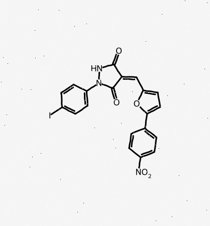 O=C1NN(c2ccc(I)cc2)C(=O)C1=Cc1ccc(-c2ccc([N+](=O)[O-])cc2)o1